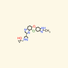 Cc1nc2ccc(Oc3ccc4ncc(-c5cnn(CC6(O)CC6)c5)nc4c3Cl)cc2[nH]1